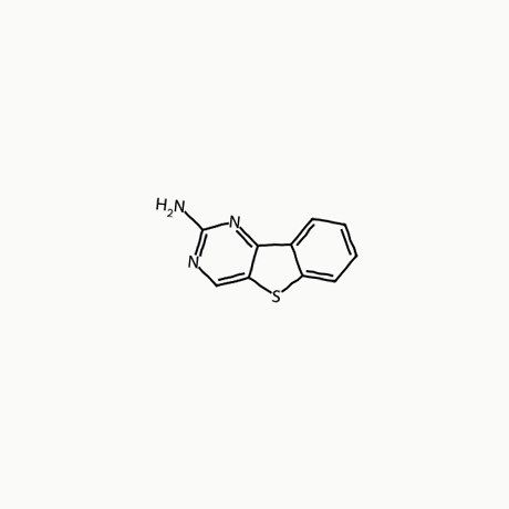 Nc1ncc2sc3ccccc3c2n1